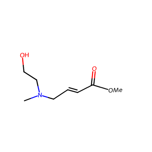 COC(=O)/C=C/CN(C)CCO